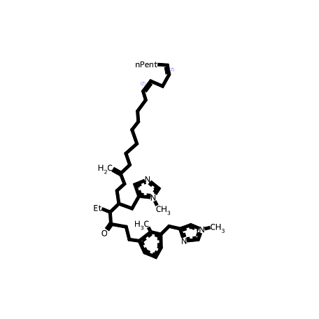 C=C(CCCCCCC/C=C\C/C=C\CCCCC)CCC(Cc1cncn1C)C(CC)C(=O)CCc1cccc(Cc2cn(C)cn2)c1C